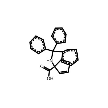 O=C(O)C1(NC(c2ccccc2)(c2ccccc2)c2ccccc2)C=CCC1